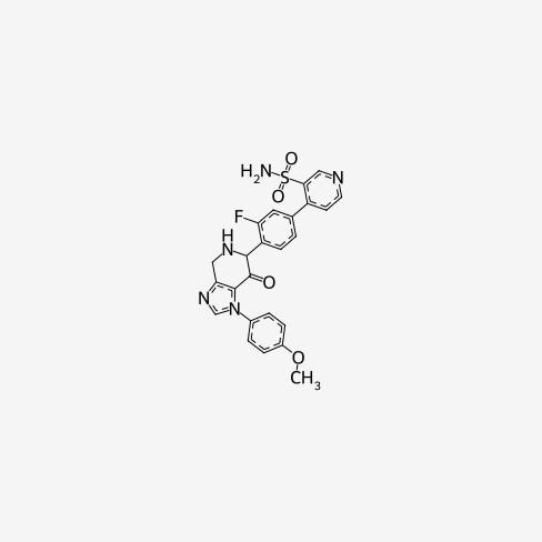 COc1ccc(-n2cnc3c2C(=O)C(c2ccc(-c4ccncc4S(N)(=O)=O)cc2F)NC3)cc1